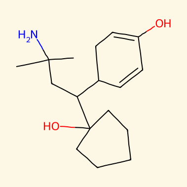 CC(C)(N)CC(C1C=CC(O)=CC1)C1(O)CCCCC1